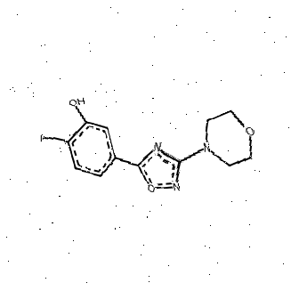 Oc1cc(-c2nc(N3CCOCC3)no2)ccc1I